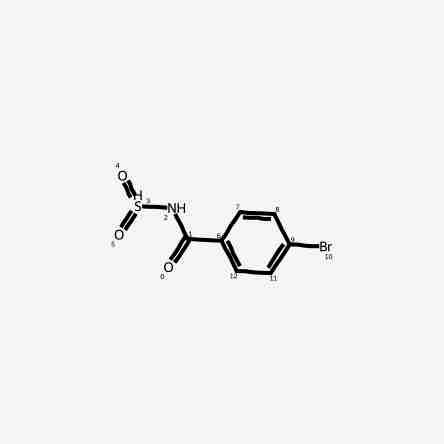 O=C(N[SH](=O)=O)c1ccc(Br)cc1